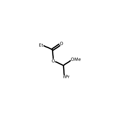 CCCC(OC)OC(=O)CC